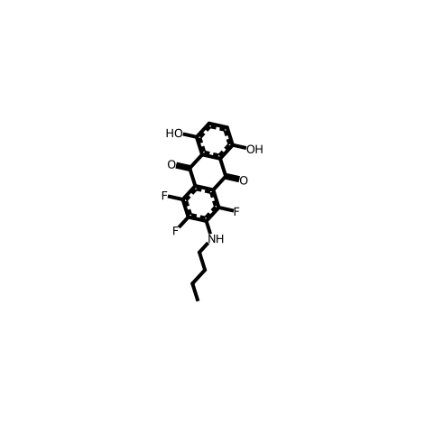 CCCCNc1c(F)c(F)c2c(c1F)C(=O)c1c(O)ccc(O)c1C2=O